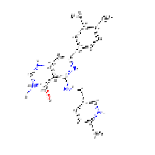 CNc1ccc(CNc2nc(-c3ccc(OC)c(OC)c3)cc3ncn(C)c(=O)c23)cn1